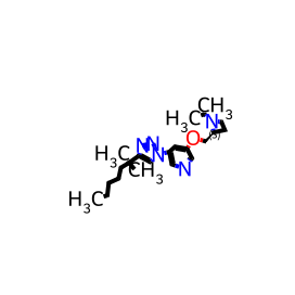 CCCCCC(C)(C)c1cn(-c2cncc(OC[C@@H]3CCN3C(C)C)c2)nn1